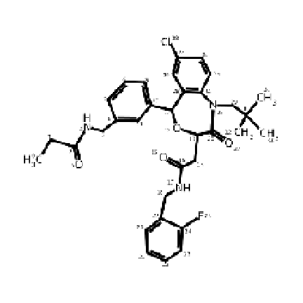 CCC(=O)NCc1cccc(C2OC(CC(=O)NCc3ccccc3F)C(=O)N(CC(C)(C)C)c3ccc(Cl)cc32)c1